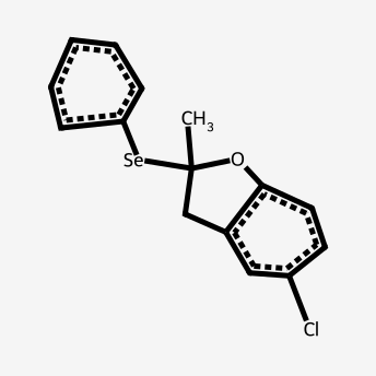 CC1([Se]c2ccccc2)Cc2cc(Cl)ccc2O1